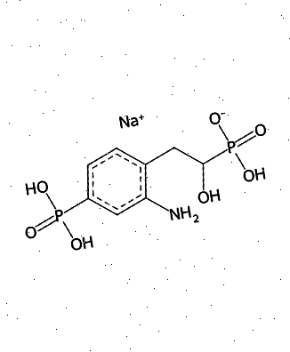 Nc1cc(P(=O)(O)O)ccc1CC(O)P(=O)([O-])O.[Na+]